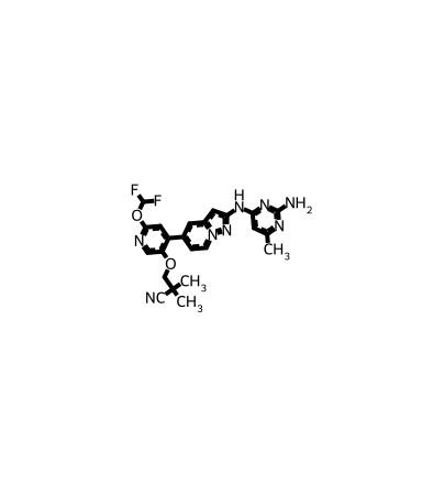 Cc1cc(Nc2cc3cc(-c4cc(OC(F)F)ncc4OCC(C)(C)C#N)ccn3n2)nc(N)n1